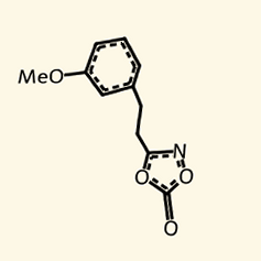 COc1cccc(CCc2noc(=O)o2)c1